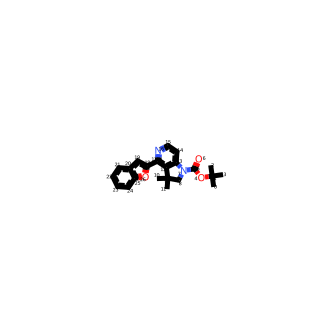 CC(C)(C)OC(=O)N1CC(C)(C)c2c1ccnc2-c1cc2ccccc2o1